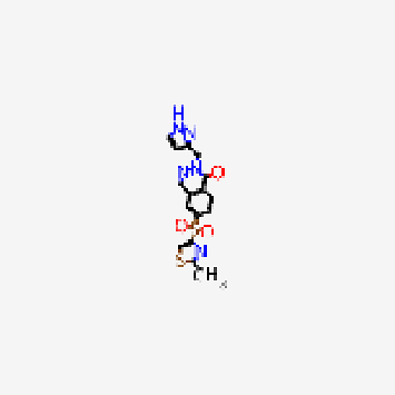 Cc1nc(S(=O)(=O)c2ccc3c(=O)n(Cc4cc[nH]n4)ncc3c2)cs1